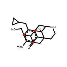 COc1cc(CC2CC2)c2c(c1)C13CCNC(C2)C1(O)CC(CCO)C(=O)C3